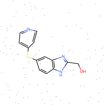 OCc1nc2cc(Sc3ccncc3)ccc2[nH]1